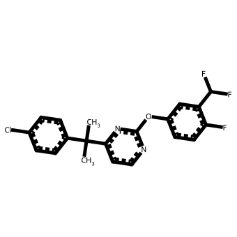 CC(C)(c1ccc(Cl)cc1)c1ccnc(Oc2ccc(F)c(C(F)F)c2)n1